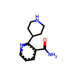 NC(=O)c1c[c]cnc1C1CCNCC1